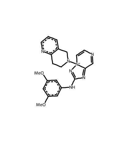 COc1cc(NC2=N[N+]3(N4CCc5ncccc5C4)C=CN=CC3=N2)cc(OC)c1